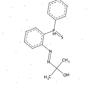 CC(C)(O)N=Nc1ccccc1[PH](=S)c1ccccc1